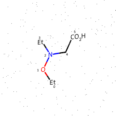 CCON(CC)CC(=O)O